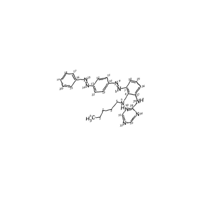 CCCCCNc1c(N=Nc2ccc(N=Nc3ccccc3)cc2)cccc1Nc1ncncn1